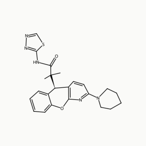 CC(C)(C(=O)Nc1nncs1)[C@@H]1c2ccccc2Oc2nc(N3CCCCC3)ccc21